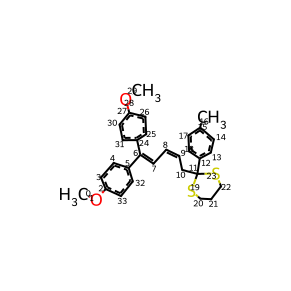 COc1ccc(C(=C/C=C\CC2(c3ccc(C)cc3)SCCCS2)c2ccc(OC)cc2)cc1